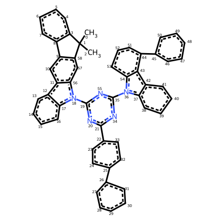 CC1(C)c2ccccc2-c2cc3c4ccccc4n(-c4nc(-c5ccc(-c6ccccc6)cc5)nc(-n5c6ccccc6c6c(-c7ccccc7)cccc65)n4)c3cc21